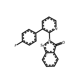 O=c1c2ccccc2[se]n1-c1ncccc1-c1ccc(F)cc1